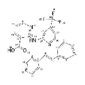 C(=Cc1ccccc1)c1ccccc1.O=C(O)c1cccnc1Nc1cccc(C(F)(F)F)c1